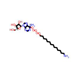 NCCCCCCCCCCCCCCOOOOOC1(N)N=CN=C2C1=NCN2[C@@H]1O[C@H](CO)[C@@H](O)[C@H]1O